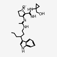 CCCC(CCN/C(C)=N/C1=C(C(=N)NC2(CO)CC2)[S+]([O-])CC1)c1c[nH]c2ccccc12